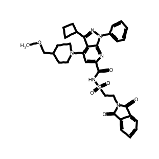 COCC1CCN(c2cc(C(=O)NS(=O)(=O)CCN3C(=O)c4ccccc4C3=O)nc3c2c(C2CCC2)nn3-c2ccccc2)CC1